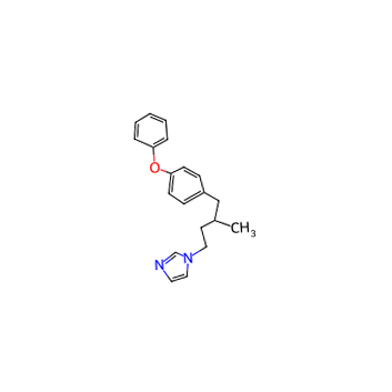 CC(CCn1ccnc1)Cc1ccc(Oc2ccccc2)cc1